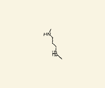 CBCCCNC